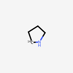 C1C[14CH2]NC1